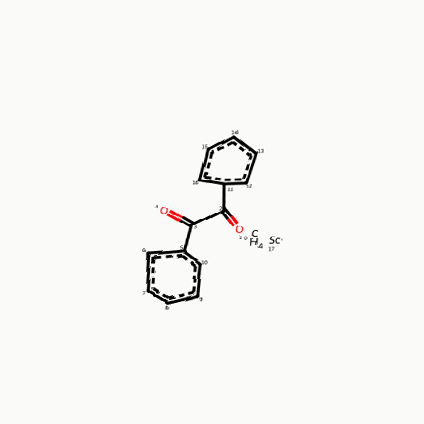 C.O=C(C(=O)c1ccccc1)c1ccccc1.[Sc]